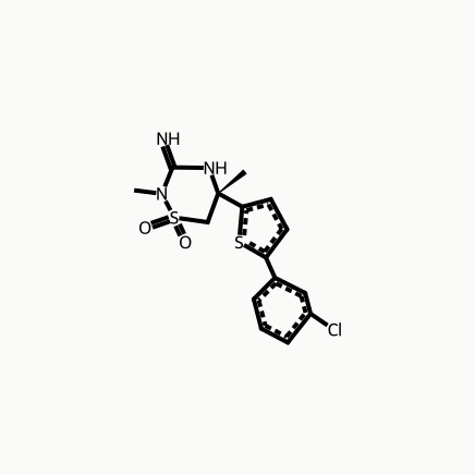 CN1C(=N)N[C@](C)(c2ccc(-c3cccc(Cl)c3)s2)CS1(=O)=O